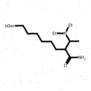 CCCCCCCCCCCCCCCCC(C(N)=O)C(C)N(CC)CC